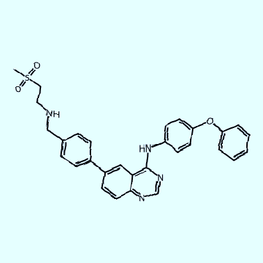 CS(=O)(=O)CCNCc1ccc(-c2ccc3ncnc(Nc4ccc(Oc5ccccc5)cc4)c3c2)cc1